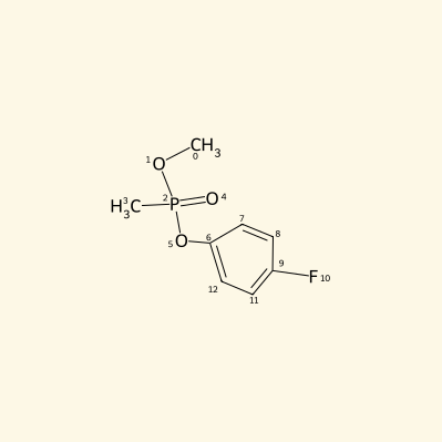 COP(C)(=O)Oc1ccc(F)cc1